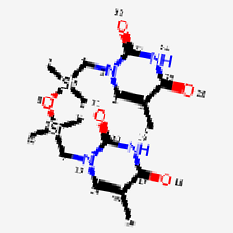 Cc1cn(C[Si](C)(C)O[Si](C)(C)Cn2cc(C)c(=O)[nH]c2=O)c(=O)[nH]c1=O